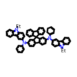 CCn1c2ccccc2c2cc(N(C3=CC=CCC3)c3ccc4c(c3)C3(c5ccccc5-c5ccccc53)c3cc(N(c5ccccc5)c5ccc6c(c5)c5ccccc5n6CC)ccc3-4)ccc21